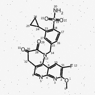 COc1nc2ncc3c(c2cc1F)N(Cc1ccc(S(N)(=O)=O)c(C2CC2)c1)C(=O)C(=O)C3